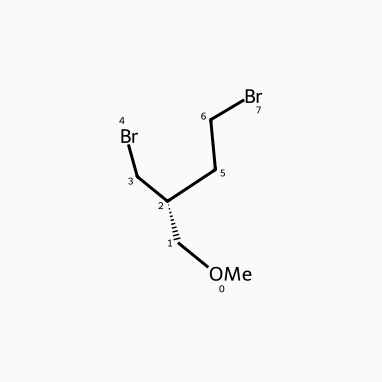 [CH2]OC[C@H](CBr)CCBr